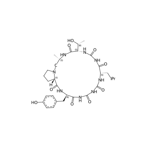 CC(C)C[C@@H]1NC(=O)NC(=O)NC(=O)[C@@H](Cc2ccc(O)cc2)NC(=O)[C@@H]2CCCN2C[C@H](C)NC(=O)[C@H]([C@@H](C)O)NC(=O)NC1=O